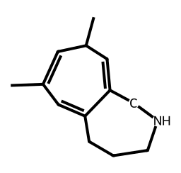 CC1=CC(C)C=C2CNCCCC2=C1